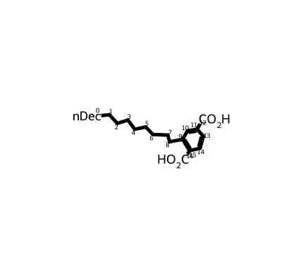 CCCCCCCCCCCCCCCCCCc1cc(C(=O)O)ccc1C(=O)O